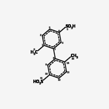 Cc1ccc(S(=O)(=O)O)cc1-c1cc(S(=O)(=O)O)ccc1C